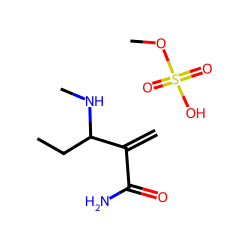 C=C(C(N)=O)C(CC)NC.COS(=O)(=O)O